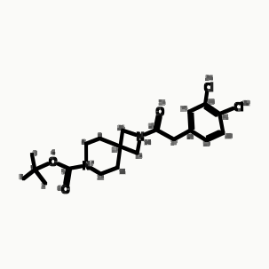 CC(C)(C)OC(=O)N1CCC2(CC1)CN(C(=O)Cc1ccc(Cl)c(Cl)c1)C2